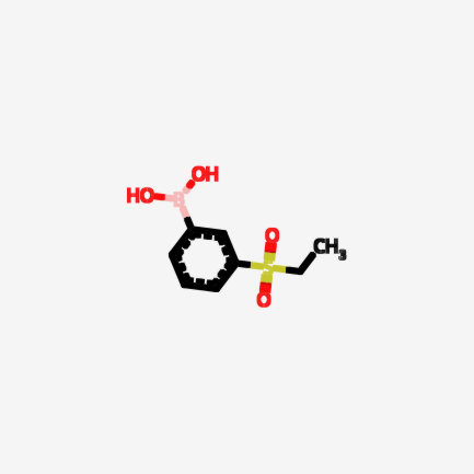 CCS(=O)(=O)c1cccc(B(O)O)c1